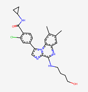 Cc1cc2nc(NCCCCO)c3ncc(-c4ccc(C(=O)NC5CC5)c(Cl)c4)n3c2cc1C